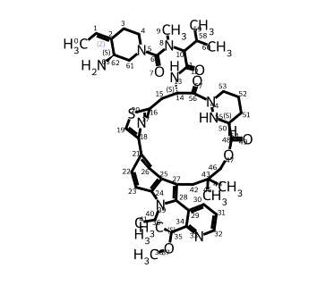 C/C=C1/CCN(C(=O)N(C)C(C(=O)N[C@H]2Cc3nc(cs3)-c3ccc4c(c3)c(c(-c3cccnc3[C@H](C)OC)n4CC)CC(C)(C)COC(=O)[C@@H]3CCCN(N3)C2=O)C(C)C)C[C@H]1N